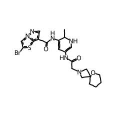 CC1NC=C(NC(=O)CN2CC3(CCCCO3)C2)C=C1NC(=O)c1cnn2cc(Br)sc12